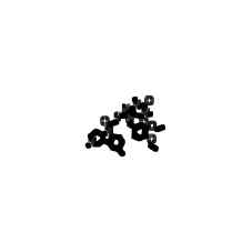 CCOc1ccc(Cn2c(SCC(=O)N3C4=C(C=C(C)CC4)C4CN(C)CCC43)nc3c2c(=O)n(C)c(=O)n3C)cc1OCC